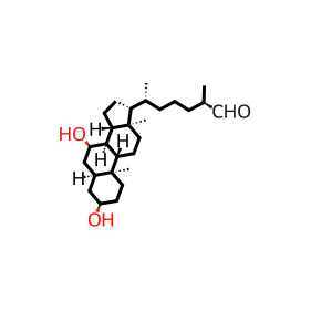 C[C@H](CCC[C@@H](C)C=O)[C@H]1CC[C@H]2[C@@H]3[C@H](O)C[C@@H]4C[C@H](O)CC[C@]4(C)[C@H]3CC[C@]12C